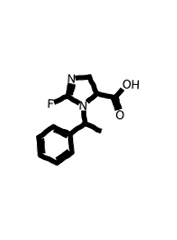 CC(c1ccccc1)N1C(F)=NCC1C(=O)O